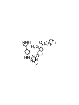 CC(C)c1nc(Nc2ccc(-c3cn[nH]c3)cc2)nc(N2CCc3cc(C(=O)N4CC(C)(F)C4)n(C)c3C2)n1